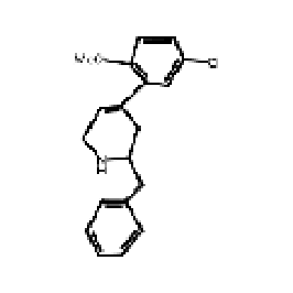 COc1ccc(Cl)cc1C1=CCNC(Cc2ccccc2)C1